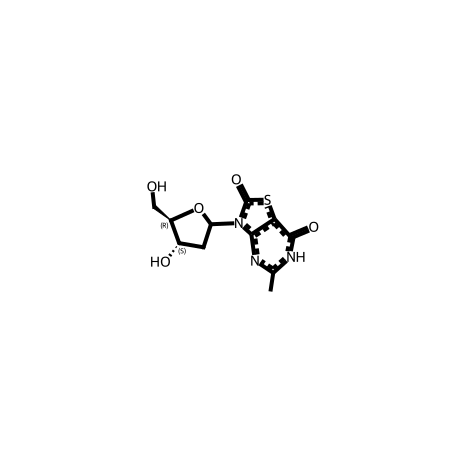 Cc1nc2c(sc(=O)n2C2C[C@H](O)[C@@H](CO)O2)c(=O)[nH]1